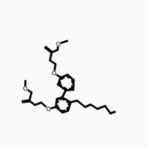 C=C(CCOc1cccc(-c2cc(OCCC(=C)COC)ccc2CCCCCCC)c1)COC